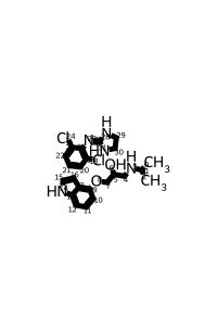 CC(C)NCC(O)COc1cccc2[nH]ccc12.Clc1cccc(Cl)c1N=C1NCCN1